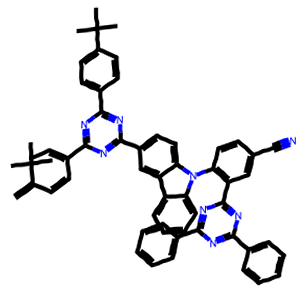 C=C(/C=C\C(=C/C)c1nc(-c2ccc(C(C)(C)C)cc2)nc(-c2ccc3c(c2)c2ccccc2n3-c2ccc(C#N)cc2-c2nc(-c3ccccc3)nc(-c3ccccc3)n2)n1)C(C)(C)C